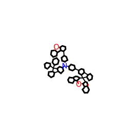 c1ccc(C2(c3ccccc3)c3ccccc3-c3ccc(N(c4ccc(-c5ccc6c(c5)C5(c7ccccc7-6)c6ccc7ccccc7c6Oc6c5ccc5ccccc65)cc4)c4ccc(-c5cccc6oc7ccccc7c56)cc4)cc32)cc1